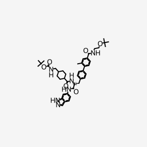 Cc1cc(C(=O)NCCOC(C)(C)C)ccc1-c1ccc(C[C@H](NC(=O)C2CCC(CNC(=O)OC(C)(C)C)CC2)C(=O)Nc2ccc3cn[nH]c3c2)cc1